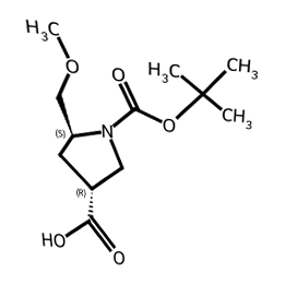 COC[C@@H]1C[C@@H](C(=O)O)CN1C(=O)OC(C)(C)C